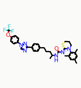 Cc1cc(C)c(N2CCCS/C2=N\C(=O)NC(C)CCCc2ccc(-c3ncn(-c4ccc(OC(F)(F)F)cc4)n3)cc2)c(C)c1